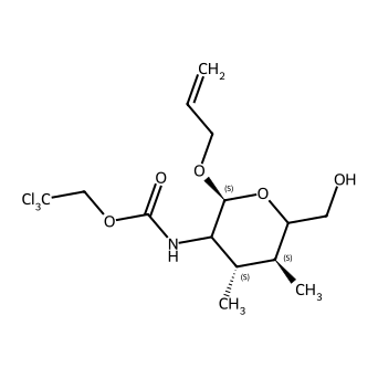 C=CCO[C@H]1OC(CO)[C@@H](C)[C@H](C)C1NC(=O)OCC(Cl)(Cl)Cl